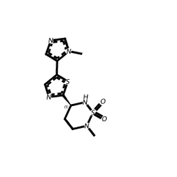 CN1CC[C@@H](c2ncc(-c3cncn3C)s2)NS1(=O)=O